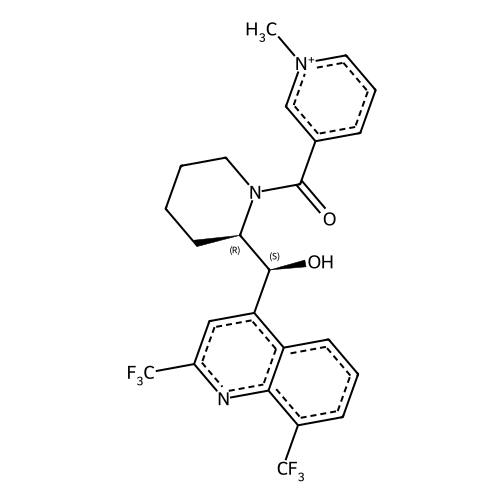 C[n+]1cccc(C(=O)N2CCCC[C@@H]2[C@@H](O)c2cc(C(F)(F)F)nc3c(C(F)(F)F)cccc23)c1